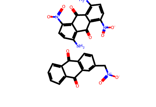 Nc1ccc([N+](=O)[O-])c2c1C(=O)c1c([N+](=O)[O-])ccc(N)c1C2=O.O=C1c2ccccc2C(=O)c2cc(C[N+](=O)[O-])ccc21